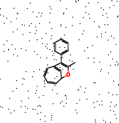 CC1=C(c2ccccc2)C2=CC(C=CC=C2)O1